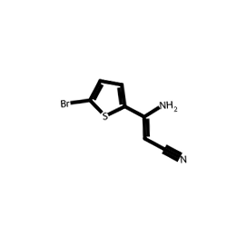 N#CC=C(N)c1ccc(Br)s1